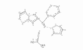 C(=C(c1ccccc1)c1nc2ccccc2o1)c1ccccc1.O=C(O)O